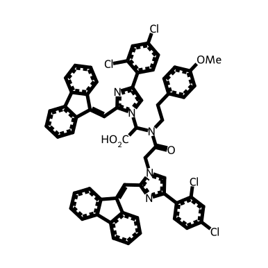 COc1ccc(CCN(C(=O)Cn2cc(-c3ccc(Cl)cc3Cl)nc2C=C2c3ccccc3-c3ccccc32)C(C(=O)O)n2cc(-c3ccc(Cl)cc3Cl)nc2C=C2c3ccccc3-c3ccccc32)cc1